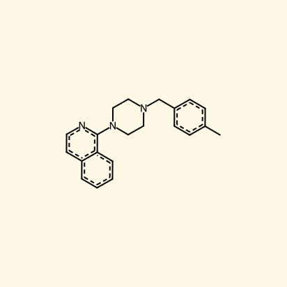 Cc1ccc(CN2CCN(c3nccc4ccccc34)CC2)cc1